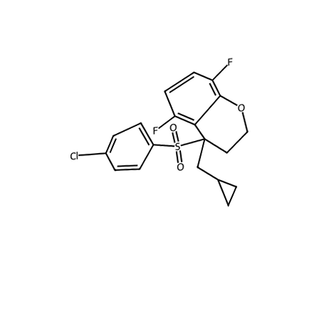 O=S(=O)(c1ccc(Cl)cc1)C1(CC2CC2)CCOc2c(F)ccc(F)c21